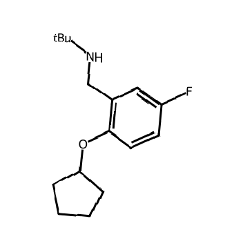 CC(C)(C)NCc1cc(F)ccc1OC1CCCC1